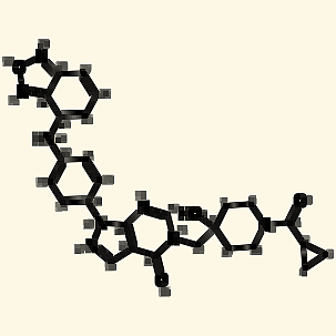 O=C(C1CC1)N1CCC(O)(Cn2cnc3c(cnn3-c3ccc(Nc4cccc5nonc45)cc3)c2=O)CC1